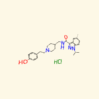 Cc1ccc2c(c1)c(C(=O)NCC1CCN(CCc3ccc(O)cc3)CC1)nn2C(C)C.Cl